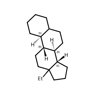 CCC12CCC[C@H]1[C@@H]1CCC3CCCC[C@@H]3[C@H]1CC2